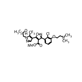 COC(=O)c1c(-c2cccc(OCCN(C)C)c2Cl)noc1-c1cnn(C[C@H](C)O)c1C(F)(F)F